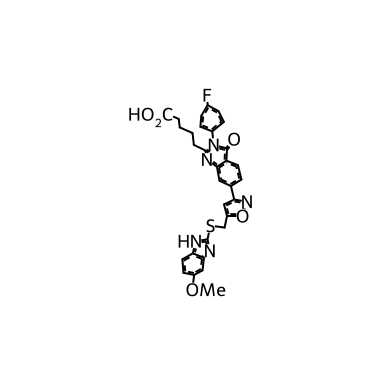 COc1ccc2[nH]c(SCc3cc(-c4ccc5c(=O)n(-c6ccc(F)cc6)c(CCCCC(=O)O)nc5c4)no3)nc2c1